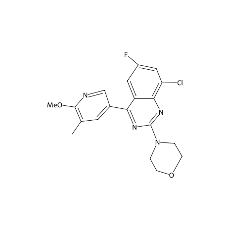 COc1ncc(-c2nc(N3CCOCC3)nc3c(Cl)cc(F)cc23)cc1C